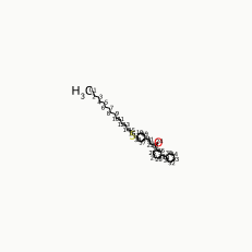 CCCCCCCCCCCCCCCCSc1ccc(/C=C/C(=O)c2cccc(-c3ccccc3)c2)cc1